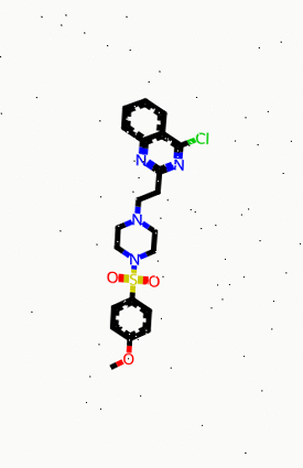 COc1ccc(S(=O)(=O)N2CCN(CCc3nc(Cl)c4ccccc4n3)CC2)cc1